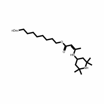 CCCCCCCCCCCCCCCCCCOC(=O)/C=C(/C)NC1CC(C)(C)NC(C)(C)C1